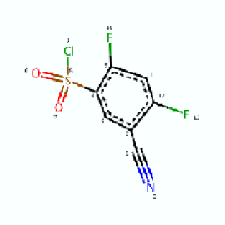 N#Cc1cc(S(=O)(=O)Cl)c(F)cc1F